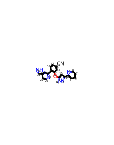 Cn1nc(-c2ccccn2)cc1Oc1cc(C#N)ccc1-c1cc(CN)ccn1